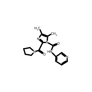 Cc1nc(C(=O)N2CCCC2)n(C(=O)Nc2cccnc2)c1C